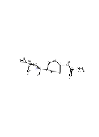 C/C(=N\[S@@+]([O-])C(C)(C)C)[C@H]1CC[C@H](OC(N)=O)CC1